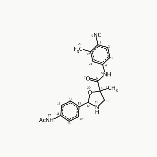 [C-]#[N+]c1ccc(NC(=O)C2(C)CNC(c3ccc(NC(C)=O)cc3)O2)cc1C(F)(F)F